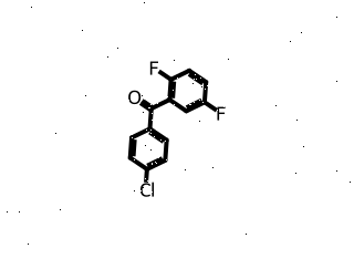 O=C(c1ccc(Cl)cc1)c1cc(F)ccc1F